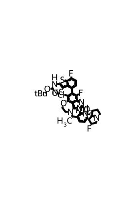 CC(c1cccnc1N)N1CCOc2c(Cl)c(-c3ccc(F)c4sc(NC(=O)OC(C)(C)C)c(C#N)c34)c(F)c3nc(OC[C@@]45CCCN4C[C@H](F)C5)nc1c23